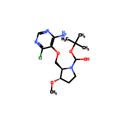 CO[C@H]1CCN(C(O)OC(C)(C)C)[C@@H]1COc1c(N)ncnc1Cl